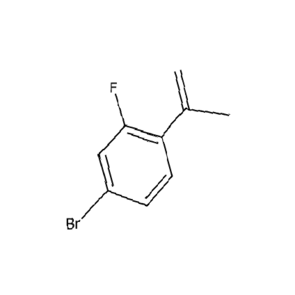 C=C(C)c1ccc(Br)cc1F